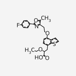 CCOC(Cc1ccc(OCCc2nc(-c3ccc(F)cc3)oc2C)c2ccsc12)C(=O)O